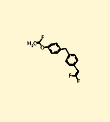 C=C(F)Oc1ccc(Cc2ccc(C=C(F)F)cc2)cc1